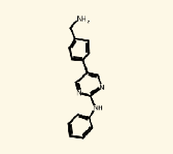 NCc1ccc(-c2cnc(Nc3ccccc3)nc2)cc1